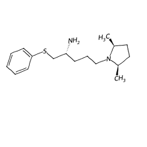 C[C@@H]1CC[C@H](C)N1CCC[C@@H](N)CSc1ccccc1